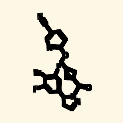 N#Cc1ccc(OCC23CC(C(=O)N4N=CCC4c4cc(F)c(Br)c(F)c4)(C2)C3)nc1